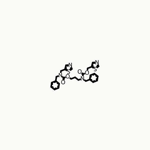 O=C(OCc1cncs1)N(CCCOC(=O)N(Cc1ccccc1)Cc1cncs1)Cc1ccccc1